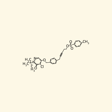 Cc1ccc(S(=O)(=O)OCCC#CCc2ccc(COc3cnn(C(C)(C)C)c(=O)c3Cl)cc2)cc1